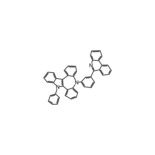 c1ccc(-n2c3c(c4ccccc42)-c2ccccc2N(c2cccc(-c4nc5ccccc5c5ccccc45)c2)c2ccccc2-3)cc1